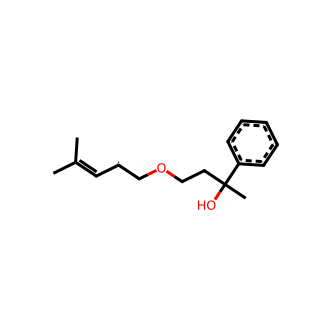 CC(C)=C[CH]COCCC(C)(O)c1ccccc1